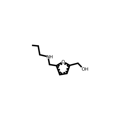 CCCNCc1ccc(CO)o1